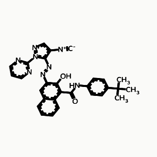 [C-]#[N+]c1cnn(-c2ncccn2)c1/N=N/c1cc2ccccc2c(C(=O)Nc2ccc(C(C)(C)C)cc2)c1O